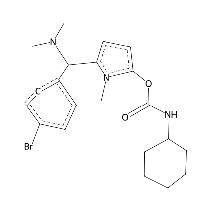 CN(C)C(c1ccc(Br)cc1)c1ccc(OC(=O)NC2CCCCC2)n1C